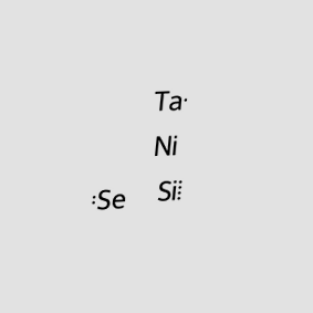 [Ni].[Se].[Si].[Ta]